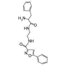 NC(Cc1ccccc1)C(=O)NCCNC(=O)c1cc(-c2ccccc2)on1